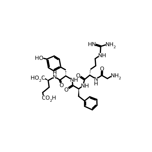 N=C(N)NCCC[C@H](NC(=O)CN)C(=O)N[C@@H](Cc1ccccc1)C(=O)N[C@@H](Cc1ccc(O)cc1)C(=O)N[C@@H](CCC(=O)O)C(=O)O